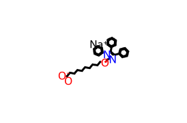 O=C([O-])CCCCCCCCCOc1nc(-c2ccccc2)c(-c2ccccc2)n1-c1ccccc1.[Na+]